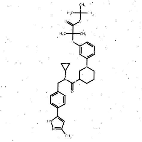 Cc1cc(-c2ccc(CN(C(=O)C3CCCN(c4cccc(OC(C)(C)C(=O)OC(C)(C)C)c4)C3)C3CC3)cc2)[nH]n1